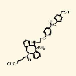 N/C1=C(\NCCOc2ccc(C(=O)Oc3ccc(CS)cc3)cc2)c2ccccc2CN(C(=O)CCCCC=O)c2ccccc21